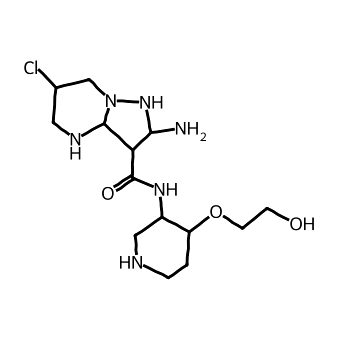 NC1NN2CC(Cl)CNC2C1C(=O)NC1CNCCC1OCCO